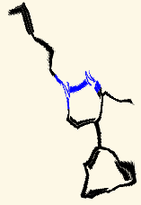 C#CCCn1cc(-c2ccccc2)c(C)n1